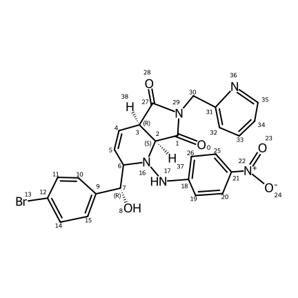 O=C1[C@@H]2[C@@H](C=CC([C@H](O)c3ccc(Br)cc3)N2Nc2ccc([N+](=O)[O-])cc2)C(=O)N1Cc1ccccn1